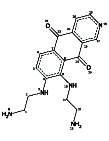 NCCNc1ccc2c(c1NCCN)C(=O)c1cnccc1C2=O